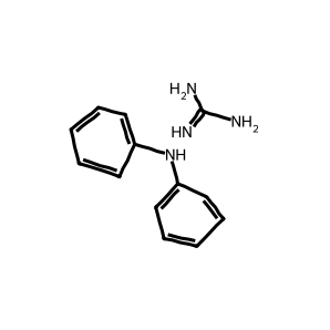 N=C(N)N.c1ccc(Nc2ccccc2)cc1